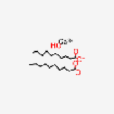 CCCCCCCCCC(=O)[O-].CCCCCCCCCC(=O)[O-].[Ga+3].[OH-]